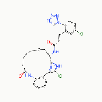 O=C(/C=C/c1cc(Cl)ccc1-n1cnnn1)N[C@H]1CCCCCCC(=O)Nc2ccccc2-c2nc1[nH]c2Cl